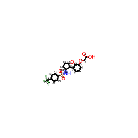 O=C(O)COc1cccc2c1OC1CCC(NS(=O)(=O)c3ccc(C(F)(F)F)cc3)C21